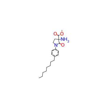 CCCCCCCCc1ccc(N2CCC(N)(C(=O)OC)C2=O)cc1